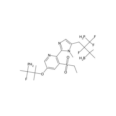 BC(C)(C)C(F)(Cc1cnc(-c2ncc(OC(C)(C)C(C)(F)P)cc2S(=O)(=O)CC)n1C)C(F)(F)P